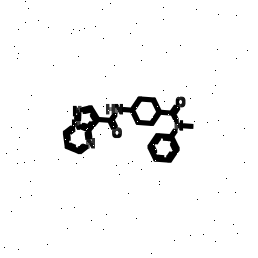 CN(C(=O)C1CCC(NC(=O)c2cnn3cccnc23)CC1)c1ccccc1